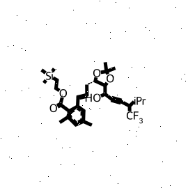 Cc1cc(C)c(C(=O)OCC[Si](C)(C)C)c(/C=C/C[C@@H]2OC(C)(C)OC2C(O)C#CC(C(C)C)C(F)(F)F)c1